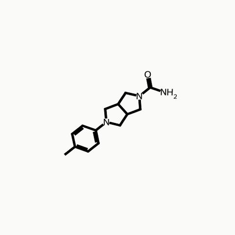 Cc1ccc(N2CC3CN(C(N)=O)CC3C2)cc1